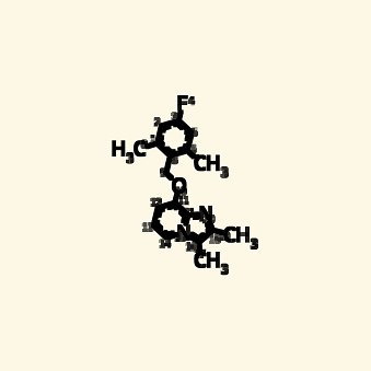 Cc1cc(F)cc(C)c1COc1cccn2c(C)c(C)nc12